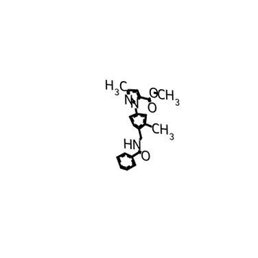 COC(=O)c1cc(C)nn1-c1ccc(CNC(=O)c2ccccc2)c(C)c1